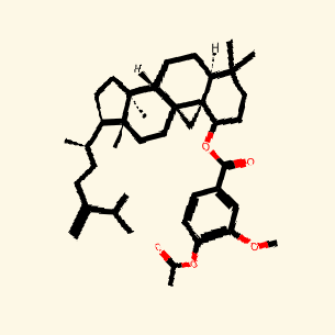 C=C(CC[C@@H](C)[C@H]1CC[C@@]2(C)[C@@H]3CC[C@H]4C(C)(C)CCC(OC(=O)c5ccc(OC(C)=O)c(OC)c5)[C@@]45C[C@@]35CC[C@]12C)C(C)C